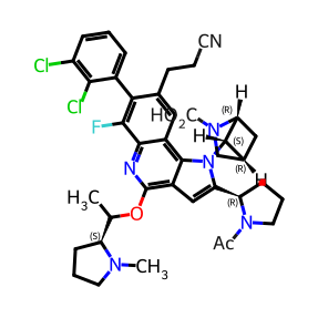 CC(=O)N1CCC[C@@H]1c1cc2c(OC(C)[C@@H]3CCCN3C)nc3c(F)c(-c4cccc(Cl)c4Cl)c(CCC#N)cc3c2n1[C@H]1[C@@H]2C[C@H]1N(C(=O)O)C2